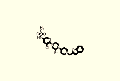 CC[C@H]1CN(c2ncc(NS(C)(=O)=O)cc2Cl)CCN1C1CCN(Cc2cc3ccccc3o2)CC1